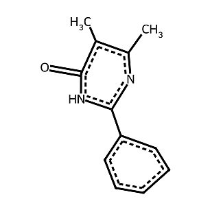 Cc1nc(-c2ccccc2)[nH]c(=O)c1C